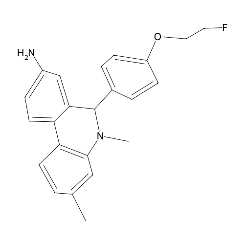 Cc1ccc2c(c1)N(C)C(c1ccc(OCCF)cc1)c1cc(N)ccc1-2